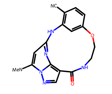 CNc1cc2nc3c(cnn13)C(=O)NCCOc1ccc(C#N)c(c1)N2